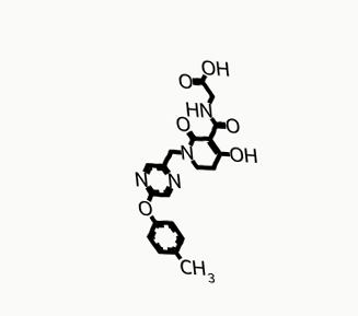 Cc1ccc(Oc2cnc(CN3CCC(O)=C(C(=O)NCC(=O)O)C3=O)cn2)cc1